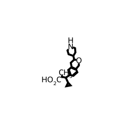 CC(C(=O)O)C(c1ccc2c(c1)CC(C1CCNCC1)OC2)C1CC1